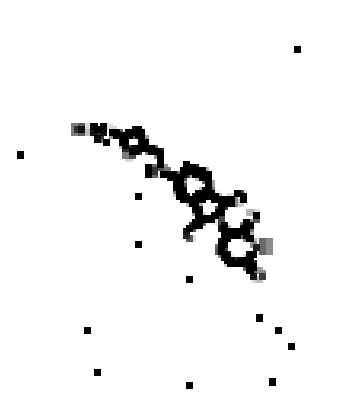 O=C1CCC(N2C(=O)c3ccc(NCC4CC(C(=O)O)O4)cc3C2=O)C(=O)N1